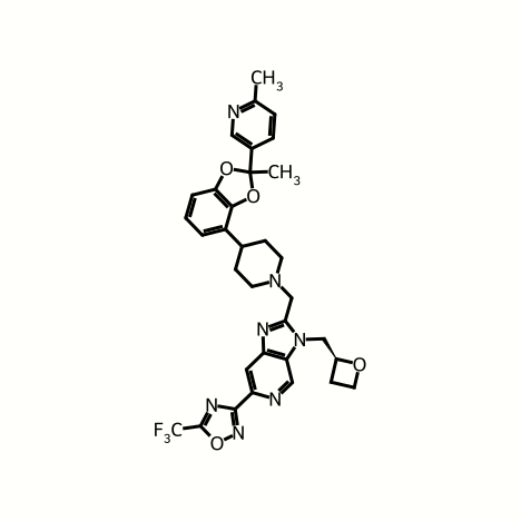 Cc1ccc(C2(C)Oc3cccc(C4CCN(Cc5nc6cc(-c7noc(C(F)(F)F)n7)ncc6n5C[C@@H]5CCO5)CC4)c3O2)cn1